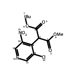 COC(=O)C(C(=O)OC(C)(C)C)c1c(Cl)cncc1[N+](=O)[O-]